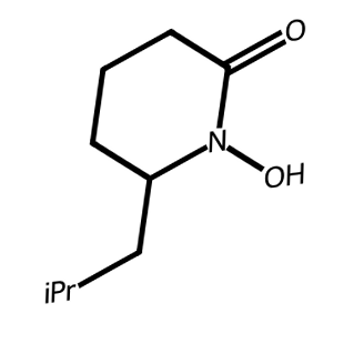 CC(C)CC1CCCC(=O)N1O